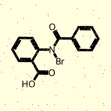 O=C(O)c1ccccc1N(Br)C(=O)c1ccccc1